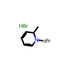 Br.CCCN1C=CC=CC1C